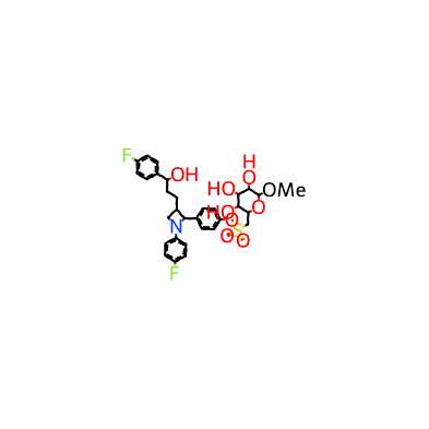 COC1OC(CS(=O)(=O)Oc2ccc(C3C(CCC(O)c4ccc(F)cc4)CN3c3ccc(F)cc3)cc2)C(O)C(O)C1O